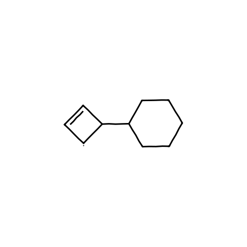 [CH]1C=CC1C1CCCCC1